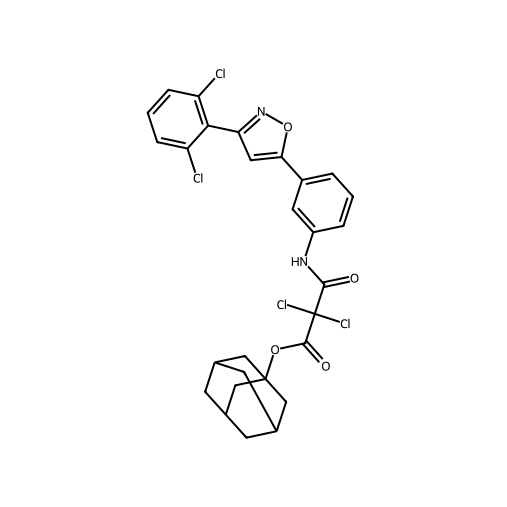 O=C(Nc1cccc(-c2cc(-c3c(Cl)cccc3Cl)no2)c1)C(Cl)(Cl)C(=O)OC12CC3CC(CC(C3)C1)C2